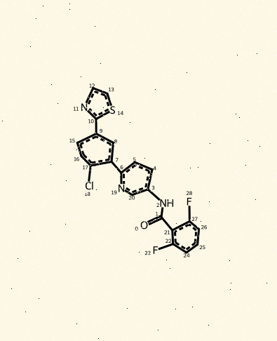 O=C(Nc1ccc(-c2cc(-c3nccs3)ccc2Cl)nc1)c1c(F)cccc1F